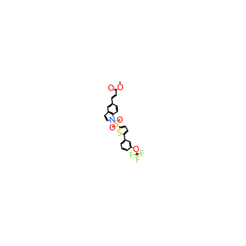 COC(=O)C=Cc1ccc2c(ccn2S(=O)(=O)c2ccc(-c3cccc(OC(F)(F)F)c3)s2)c1